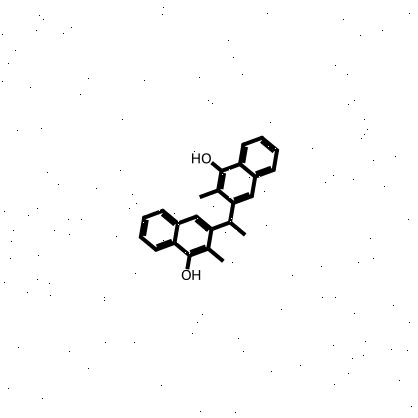 Cc1c(C(C)c2cc3ccccc3c(O)c2C)cc2ccccc2c1O